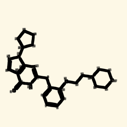 O=c1[nH]c(Cc2ccccc2OCCN2CCOCC2)nc2c1cnn2C1CCCC1